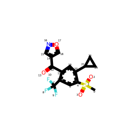 CS(=O)(=O)c1cc(C(F)(F)F)c(C(=O)c2cnoc2)cc1C1CC1